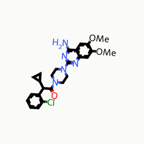 COc1cc2nc(N3CCN(C(=O)C(c4ccccc4Cl)C4CC4)CC3)nc(N)c2cc1OC